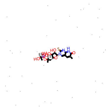 CCC(C)(C[C@H]1O[C@@H](n2cc3cc(C)c(=O)[nH]c3nc2=S)[C@@H](O)C1O)OP(=O)(O)C(C)(O)CC